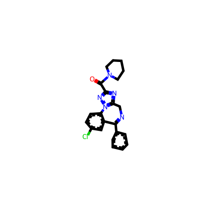 O=C(c1nc2n(n1)-c1ccc(Cl)cc1C(c1ccccc1)=NC2)N1CCCCC1